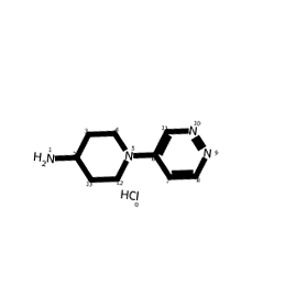 Cl.NC1CCN(c2ccnnc2)CC1